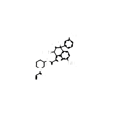 C=CC(=O)N1CCCC(NC(=O)c2sc3c(N)ccc4c3c2C(N)C(=O)C4(N)c2cccc(C(C)(C)C)c2)C1